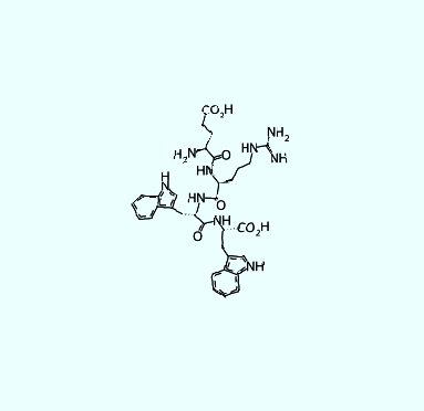 N=C(N)NCCC[C@H](NC(=O)[C@@H](N)CCC(=O)O)C(=O)N[C@@H](Cc1c[nH]c2ccccc12)C(=O)N[C@@H](Cc1c[nH]c2ccccc12)C(=O)O